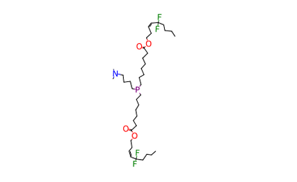 CCCCC(F)(F)/C=C\CCOC(=O)CCCCCCCP(CCCCCCCC(=O)OCC/C=C\C(F)(F)CCCC)CCCCN(C)C